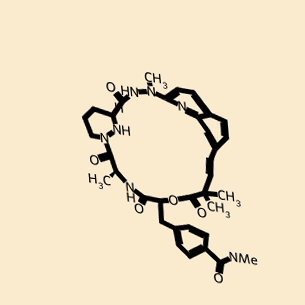 CNC(=O)c1ccc(CC2OC(=O)C(C)(C)/C=C/c3ccc4ccc(nc4c3)N(C)NC(=O)[C@@H]3CCCN(N3)C(=O)[C@H](C)NC2=O)cc1